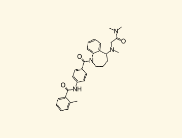 Cc1ccccc1C(=O)Nc1ccc(C(=O)N2CCCC(N(C)CC(=O)N(C)C)c3ccccc32)cc1